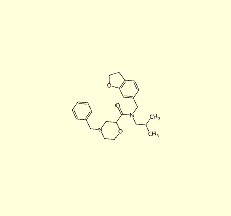 CC(C)CN(Cc1ccc2c(c1)OCC2)C(=O)C1CN(Cc2ccccc2)CCO1